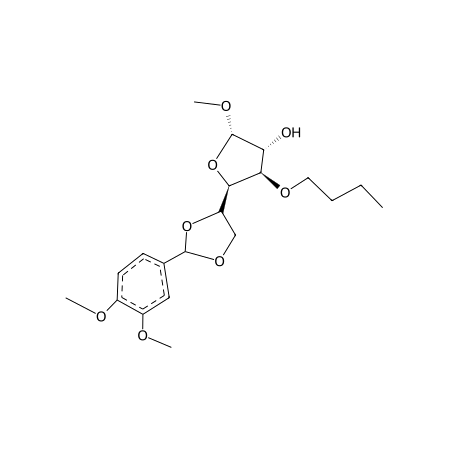 CCCCO[C@@H]1[C@@H](O)[C@@H](OC)O[C@@H]1C1COC(c2ccc(OC)c(OC)c2)O1